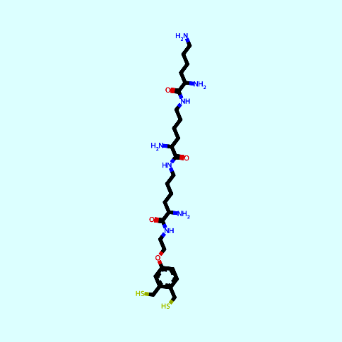 NCCCCC(N)C(=O)NCCCCC(N)C(=O)NCCCCC(N)C(=O)NCCOc1ccc(CS)c(CS)c1